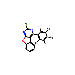 [2H]c1c([2H])c([2H])c(-c2nc(Cl)nc3oc4ccccc4c23)c([2H])c1[2H]